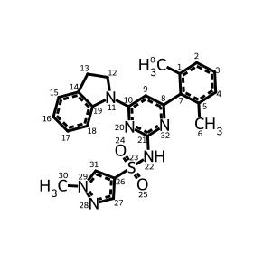 Cc1cccc(C)c1-c1cc(N2CCc3ccccc32)nc(NS(=O)(=O)c2cnn(C)c2)n1